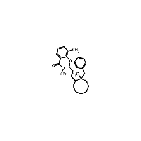 CCCOC(=O)c1cccc(C)c1OCCCC1CCCCCCC1(C)Cc1ccccc1